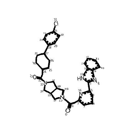 O=C(c1cccc(-c2nc3ccccc3[nH]2)n1)N1CC2CN(C(=O)C3CCC(c4ccc(Cl)cc4)CC3)CC2C1